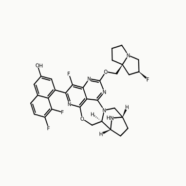 Oc1cc(-c2nc3c4c(nc(OC[C@@]56CCCN5C[C@@H](F)C6)nc4c2F)N2C[C@@H]4CC[C@@H](N4)[C@H]2CO3)c2c(F)c(F)ccc2c1